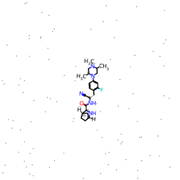 CC1CN(c2ccc(C[C@@H](C#N)NC(=O)[C@H]3N[C@@H]4CC[C@H]3C4)c(F)c2)C(C)CN1C